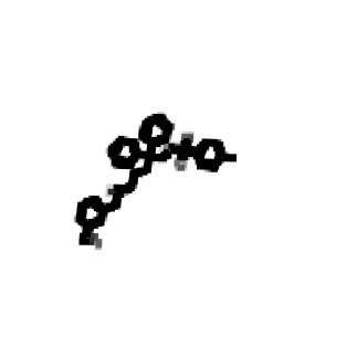 Cc1ccc(S(=O)(=O)NCC(CCCNCc2cccc(N)c2)(c2ccccc2)c2ccccc2)cc1